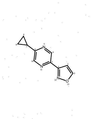 c1cc(-c2cnc(C3CC3)cn2)no1